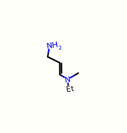 CCN(C)C=CCN